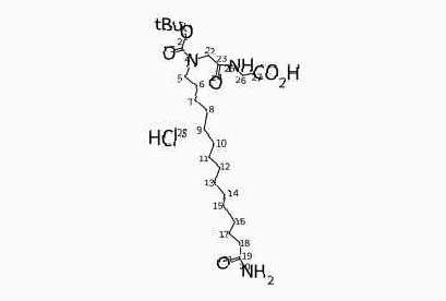 CC(C)(C)OC(=O)N(CCCCCCCCCCCCCCC(N)=O)CC(=O)NCC(=O)O.Cl